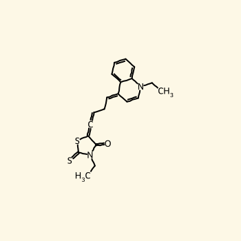 CCN1C(=O)C(=C=CCC=C2C=CN(CC)c3ccccc32)SC1=S